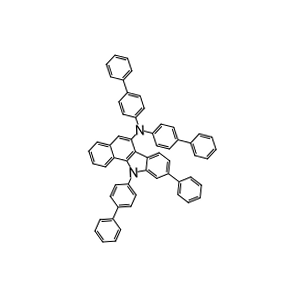 c1ccc(-c2ccc(N(c3ccc(-c4ccccc4)cc3)c3cc4ccccc4c4c3c3ccc(-c5ccccc5)cc3n4-c3ccc(-c4ccccc4)cc3)cc2)cc1